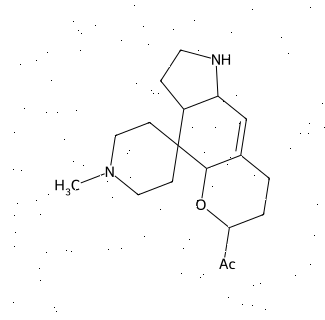 CC(=O)C1CCC2=CC3NCCC3C3(CCN(C)CC3)C2O1